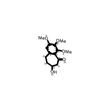 COc1cc2c(c(OC)c1OC)C(=O)CC(O)CC2